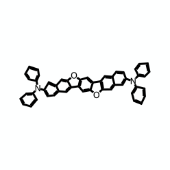 c1ccc(N(c2ccccc2)c2ccc3cc4c(cc3c2)oc2cc3c(cc24)oc2cc4cc(N(c5ccccc5)c5ccccc5)ccc4cc23)cc1